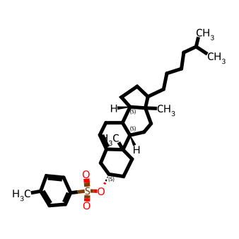 Cc1ccc(S(=O)(=O)O[C@H]2CCC3(C)C(=CCC4[C@@H]3CCC3(C)C(CCCCC(C)C)CC[C@@H]43)C2)cc1